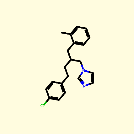 Cc1ccccc1CC(CCc1ccc(Cl)cc1)Cn1ccnc1